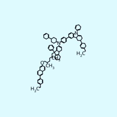 C=CC1=CC=C(C2CC=C3C(C2)c2cc(-c4ccc(N(C5=CCC6C(=C5)C(CC(C)CCC(C)COC5=CC7C=CC(c8ccc(C=C)cc8)=CC7C=C5)(c5ccccc5)C5=C6CCC=C5)C5CCC(C6=CC=CCC6)CC5)cc4)ccc2N3C2=CCCC=C2)CC1